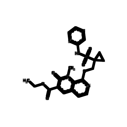 CCOC(=O)c1cc2ccnc(OCC3(S(=O)(=O)Nc4cnccn4)CC3)c2n(C)c1=O